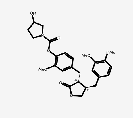 COc1ccc(C[C@H]2COC(=O)[C@@H]2Cc2ccc(OC(=O)N3CCC(O)C3)c(OC)c2)cc1OC